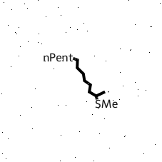 [CH2]C(CCCCCCCCCCC)SC